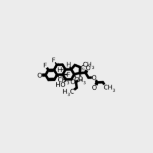 CCC(=O)OCC(=O)[C@@]1(OC(=O)CC)[C@@H](C)C[C@H]2[C@@H]3C[C@H](F)C4=C(F)C(=O)C=C[C@]4(C)[C@@]3(F)[C@@H](O)C[C@@]21C